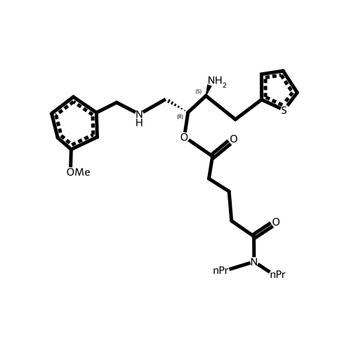 CCCN(CCC)C(=O)CCCC(=O)O[C@H](CNCc1cccc(OC)c1)[C@@H](N)Cc1cccs1